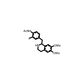 COc1cc2c(cc1OC)C(Cc1ccc(NC(C)=O)c(I)c1)NCC2